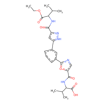 CCOC(=O)C(NC(=O)c1cc(-c2cccc(-c3ncc(C(=O)NC(C(=O)O)C(C)C)o3)c2)[nH]n1)C(C)C